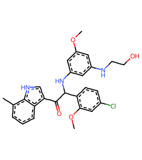 COc1cc(NCCO)cc(NC(C(=O)c2c[nH]c3c(C)cccc23)c2ccc(Cl)cc2OC)c1